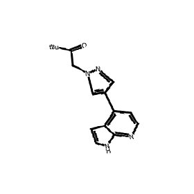 CC(C)(C)C(=O)Cn1cc(-c2ccnc3[nH]ccc23)cn1